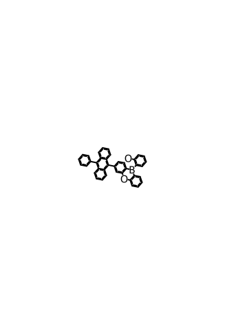 c1ccc(-c2c3ccccc3c(-c3cc4c5c(c3)Oc3ccccc3B5c3ccccc3O4)c3ccccc23)cc1